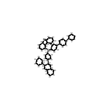 c1ccc(-c2ccc(-c3ccc(N(c4ccc(-c5cc6ccccc6cc5-c5ccccc5)cc4)c4cccc5sc6ccccc6c45)cc3)cc2)cc1